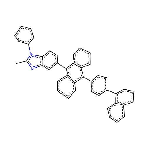 Cc1nc2cc(-c3c4ccccc4c(-c4ccc(-c5cccc6ccccc56)cc4)c4ccccc34)ccc2n1-c1ccccc1